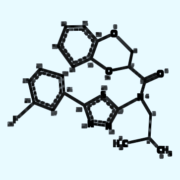 CC(C)CN(C(=O)C1COc2ccccc2O1)c1nnc(-c2cccc(F)c2)s1